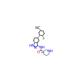 N#Cc1ccc(F)c(-c2ccc3[nH]nc(NC(=O)[C@@H]4CCCNC4)c3c2)c1